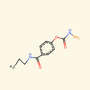 CCCNC(=O)c1ccc(OC(=O)NP)cc1